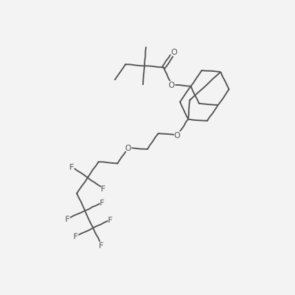 CCC(C)(C)C(=O)OC12CC3CC(CC(OCCOCCC(F)(F)CC(F)(F)C(F)(F)F)(C3)C1)C2